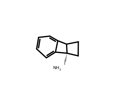 I[C@@]12CCC1c1ccccc12.N